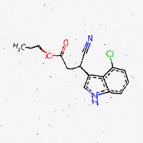 CCOC(=O)CC(C#N)c1c[nH]c2cccc(Cl)c12